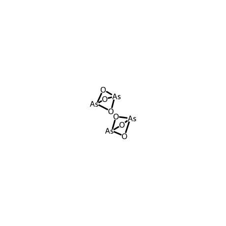 O1[As]2O[As]1O2.O1[As]2O[As]1O2